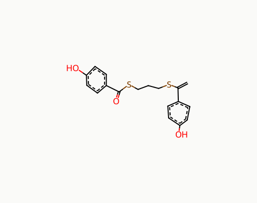 C=C(SCCCSC(=O)c1ccc(O)cc1)c1ccc(O)cc1